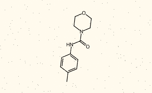 Cc1ccc(NC(=O)N2CCOCC2)cc1